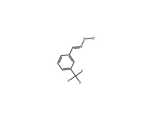 FC(F)(F)c1cccc(C=NOCl)c1